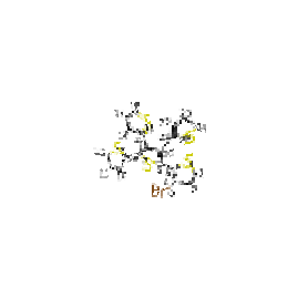 Brc1ccsc1-c1sc(-c2cccs2)c(-c2cccs2)c1-c1cccs1